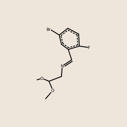 COC(CN=Cc1cc(Br)ccc1F)OC